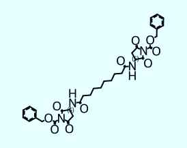 O=C(CCCCCCCCC(=O)N[C@H]1CC(=O)N(C(=O)OCc2ccccc2)C1=O)N[C@H]1CC(=O)N(C(=O)OCc2ccccc2)C1=O